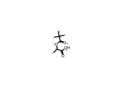 CC(OC(=O)C(C)(C)C)C(=O)O